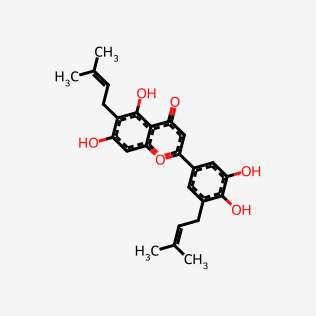 CC(C)=CCc1cc(-c2cc(=O)c3c(O)c(CC=C(C)C)c(O)cc3o2)cc(O)c1O